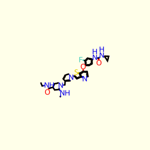 CCNC(=O)C1CCN(CC2=CN(c3cc4nccc(Oc5ccc(NC(=O)NC6CC6)cc5F)c4s3)CC=C2)C(NC)C1